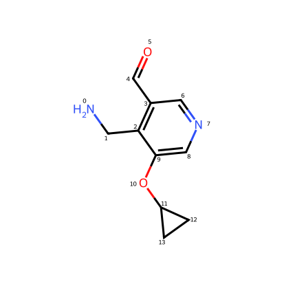 NCc1c(C=O)cncc1OC1CC1